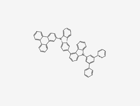 c1ccc(-c2cc(-c3ccccc3)cc(-n3c4ccccc4c4c(-c5ccc6c(c5)c5ccccc5n6-c5ccc6c7ccccc7c7ccccc7c6c5)cccc43)c2)cc1